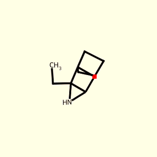 CCC12NC1C13CCC12CC3